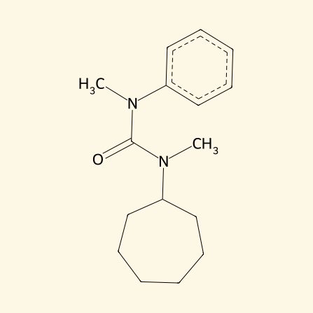 CN(C(=O)N(C)C1CCCCCC1)c1ccccc1